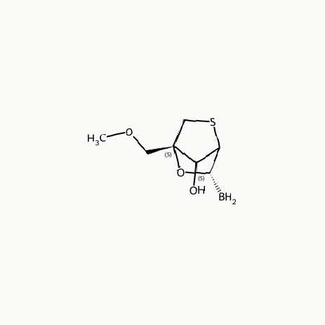 B[C@@H]1O[C@]2(COC)CSC1C2O